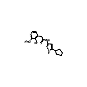 COc1nccc(CC(=O)Nc2cc(C3CCCC3)[nH]n2)c1O